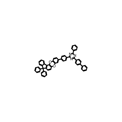 c1ccc(-c2ccc(-c3nc(-c4ccccc4)nc(-c4ccc(-c5ccc6c(c5)Oc5ccc7c(c5O6)-c5ccccc5C7(c5ccccc5)c5ccccc5)cc4)n3)cc2)cc1